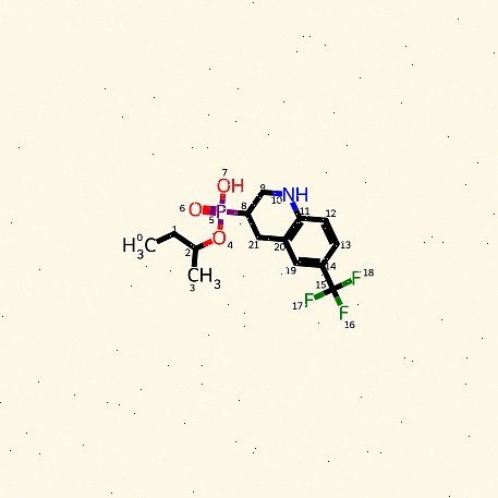 CCC(C)OP(=O)(O)C1CNc2ccc(C(F)(F)F)cc2C1